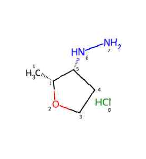 C[C@H]1OCC[C@H]1NN.Cl